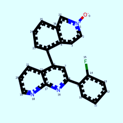 [O-][n+]1ccc2c(-c3cc(-c4ccccc4F)nc4ncccc34)cccc2c1